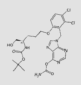 CC(C)(C)OC(=O)N[C@@H](CO)CCCOc1ccc(Cl)c(Cl)c1Cn1cnc2c(OC(N)=O)ncnc21